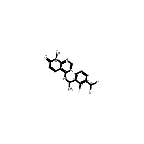 CC(Nc1ncnc2c1ccc(=O)n2C)c1cccc(C(F)F)c1F